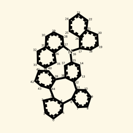 c1ccc2c(c1)-c1ccccc1-c1ccc(N(c3cccc4ccccc34)c3cccc4ccccc34)cc1-c1ccccc1-2